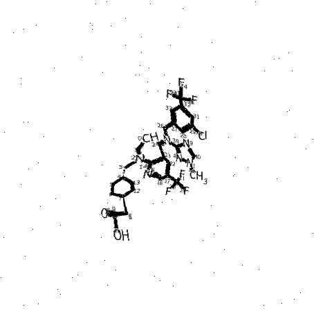 CCN(C[C@H]1CC[C@H](CC(=O)O)CC1)c1ncc(C(F)(F)F)cc1CN(Cc1cc(Cl)cc(C(F)(F)F)c1)c1ncn(C)n1